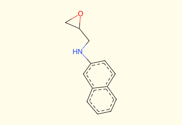 c1ccc2cc(NCC3CO3)ccc2c1